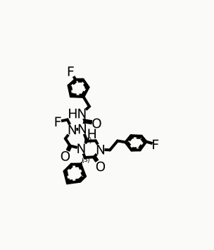 O=C1[C@H](c2ccccc2)N2C(=O)CN(CF)N(C(=O)NCc3ccc(F)cc3)[C@H]2CN1CCc1ccc(F)cc1